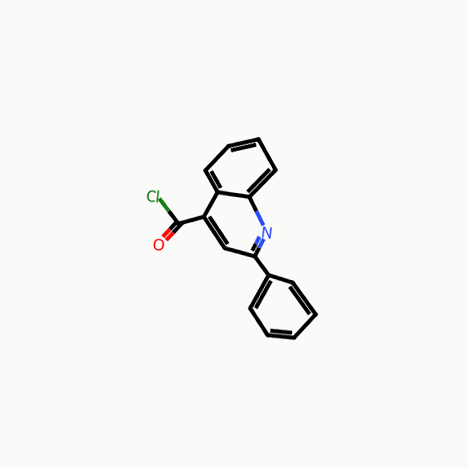 O=C(Cl)c1cc(-c2ccccc2)nc2ccccc12